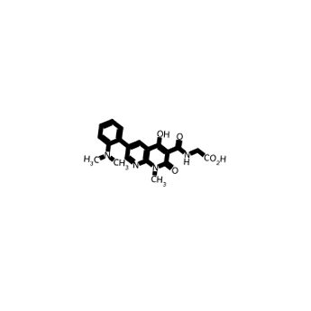 CN(C)c1ccccc1-c1cnc2c(c1)c(O)c(C(=O)NCC(=O)O)c(=O)n2C